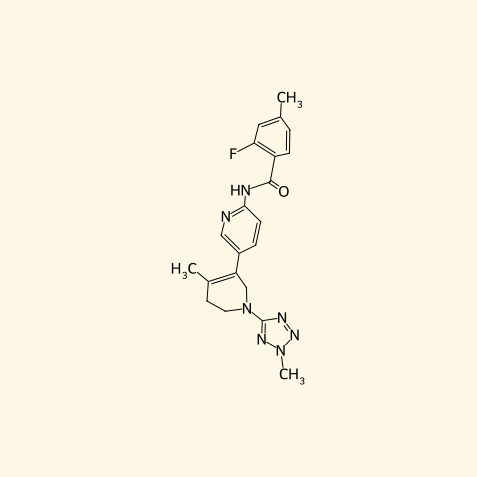 CC1=C(c2ccc(NC(=O)c3ccc(C)cc3F)nc2)CN(c2nnn(C)n2)CC1